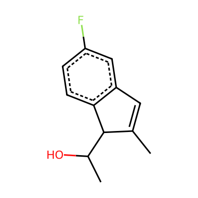 CC1=Cc2cc(F)ccc2C1C(C)O